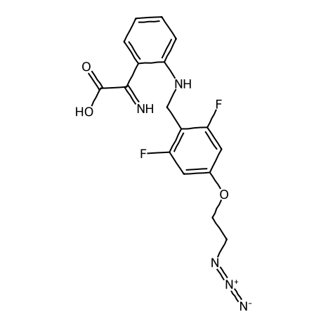 [N-]=[N+]=NCCOc1cc(F)c(CNc2ccccc2C(=N)C(=O)O)c(F)c1